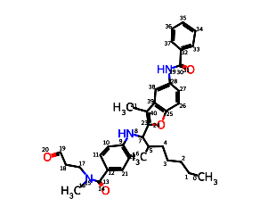 CCCCCC(C)C(Nc1ccc(C(=O)N(C)CCC=O)cc1)c1oc2ccc(NC(=O)c3ccccc3)cc2c1C